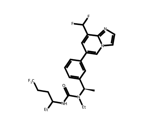 CCC(CCC(F)(F)F)NC(=O)N(CC)[C@H](C)c1cccc(-c2cc(C(F)F)c3nccn3c2)c1